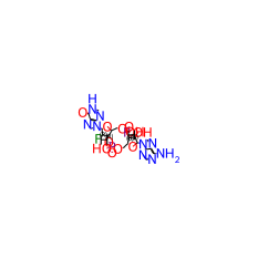 Nc1ncnc2c1ncn2C1OC2COP(=O)(O)O[C@@H]3C(COP(=O)(O)[C@H]2[C@H]1O)OC(n1cnc2c(=O)[nH]cnc21)[C@@H]3F